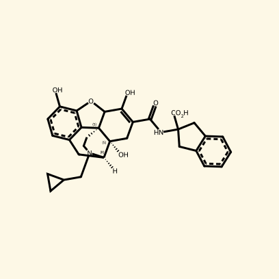 O=C(NC1(C(=O)O)Cc2ccccc2C1)C1=C(O)C2Oc3c(O)ccc4c3[C@@]23CCN(CC2CC2)[C@H](C4)[C@]3(O)C1